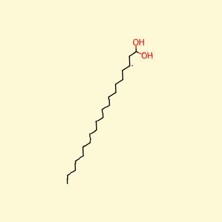 CCCCCCCCCCCCCCCCCC[CH]CC(O)O